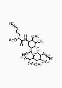 CC(=O)OC1C(O)[C@H](O[C@H]2OC([C@@H](C)OC(C)=O)[C@@H](OC(C)=O)C(OC(C)=O)[C@@H]2N=[N+]=[N-])C(N=[N+]=[N-])C[C@H]1NC(=O)[C@H](CCN=[N+]=[N-])OC(C)=O